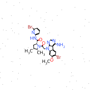 COc1cc2c(cc1Br)c1c(N)ncnc1n2CC(=O)N1[C@H](C)[C@H](C)C[C@H]1C(=O)Nc1cccc(Br)n1